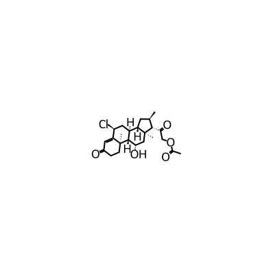 CC(=O)OCC(=O)[C@H]1[C@H](C)C[C@H]2[C@@H]3C[C@H](Cl)C4=CC(=O)CC[C@]4(C)[C@H]3[C@@H](O)C[C@@]21C